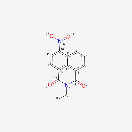 CCN1C(=O)c2cccc3c([N+](=O)[O-])ccc(c23)C1=O